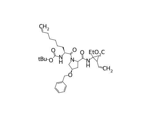 C=CCCCCC[C@H](NC(=O)OC(C)(C)C)C(=O)N1C[C@H](OCc2ccccc2)CC1C(=O)NC1(C(=O)OCC)CC1C=C